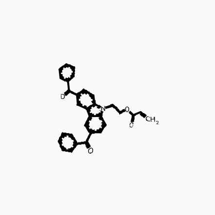 C=CC(=O)OCCn1c2ccc(C(=O)c3ccccc3)cc2c2cc(C(=O)c3ccccc3)ccc21